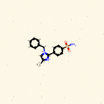 NS(=O)(=O)c1ccc(-c2nc(C(F)(F)F)cn2Cc2ccccc2)cc1